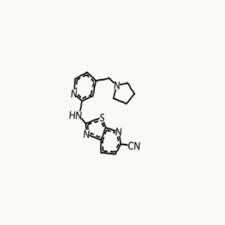 N#Cc1ccc2nc(Nc3cc(CN4CCCC4)ccn3)sc2n1